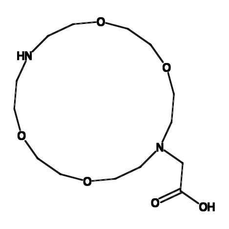 O=C(O)CN1CCOCCOCCNCCOCCOCC1